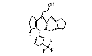 O=C1CCC2=C1C(c1cccc(C(F)(F)F)c1)c1cc3c(cc1N2CCO)CCC3